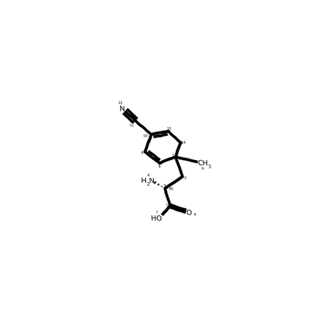 CC1(C[C@@H](N)C(=O)O)C=CC(C#N)=CC1